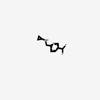 FC(F)c1ccc(CNC2CC2)nc1